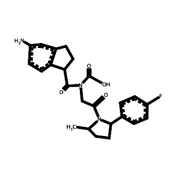 CC1CCC(c2ccc(F)cc2)N1C(=O)CN(C(=O)O)C(=O)C1CCc2cc(N)ccc21